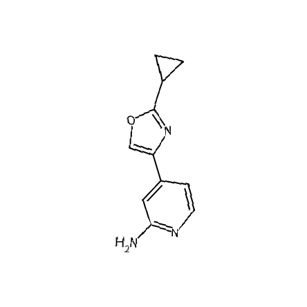 Nc1cc(-c2coc(C3CC3)n2)ccn1